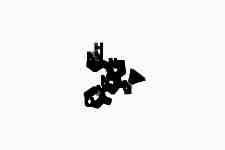 CC1COCCN1c1cc(N(C)C2CC2)c2ccnc(-c3ccn[nH]3)c2n1